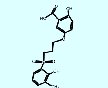 Cc1cccc(S(=O)(=O)CCCOc2ccc(O)c(C(=O)O)c2)c1O